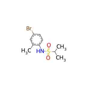 Cc1cc(Br)ccc1NS(=O)(=O)C(C)C